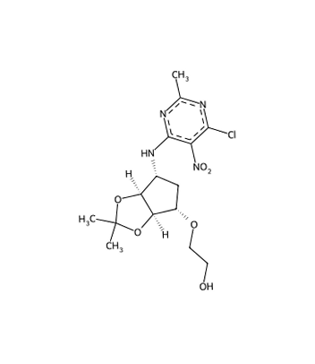 Cc1nc(Cl)c([N+](=O)[O-])c(N[C@@H]2C[C@H](OCCO)[C@H]3OC(C)(C)O[C@H]32)n1